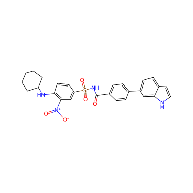 O=C(NS(=O)(=O)c1ccc(NC2CCCCC2)c([N+](=O)[O-])c1)c1ccc(-c2ccc3cc[nH]c3c2)cc1